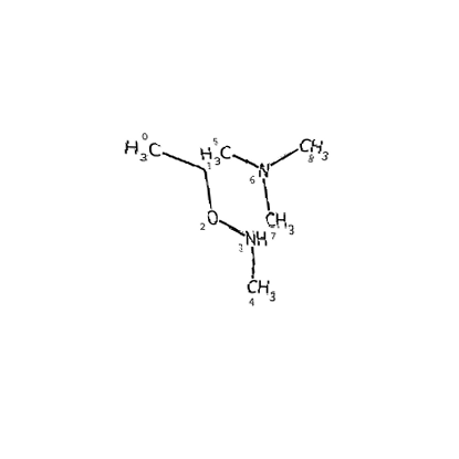 CCONC.CN(C)C